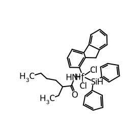 CCCCC(CC)C(=O)[NH][Hf]([Cl])([Cl])([c]1cccc2c1Cc1ccccc1-2)[SiH](c1ccccc1)c1ccccc1